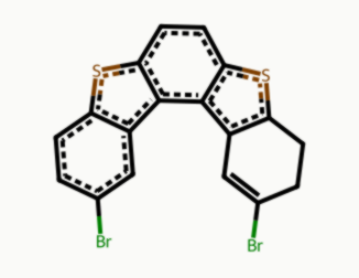 BrC1=Cc2c(sc3ccc4sc5ccc(Br)cc5c4c23)CC1